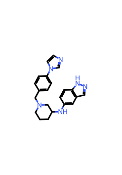 c1cn(-c2ccc(CN3CCCC(Nc4ccc5[nH]ncc5c4)C3)cc2)cn1